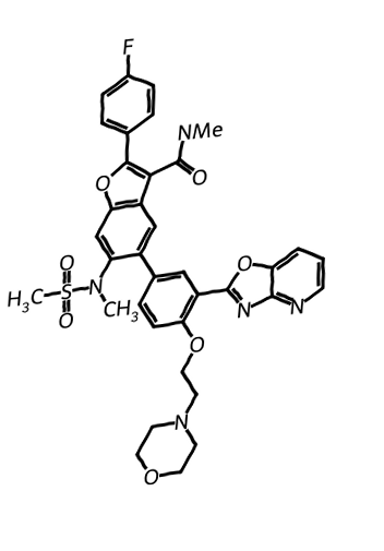 CNC(=O)c1c(-c2ccc(F)cc2)oc2cc(N(C)S(C)(=O)=O)c(-c3ccc(OCCN4CCOCC4)c(-c4nc5ncccc5o4)c3)cc12